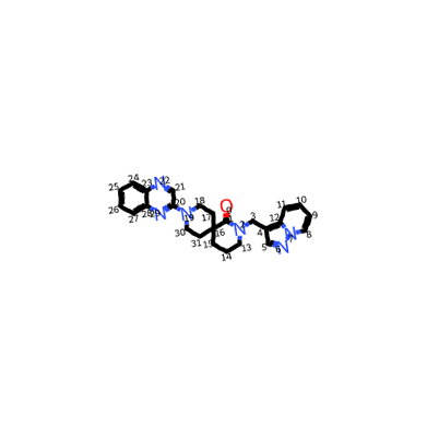 O=C1N(Cc2cnn3ccccc23)CCCC12CCN(c1cnc3ccccc3n1)CC2